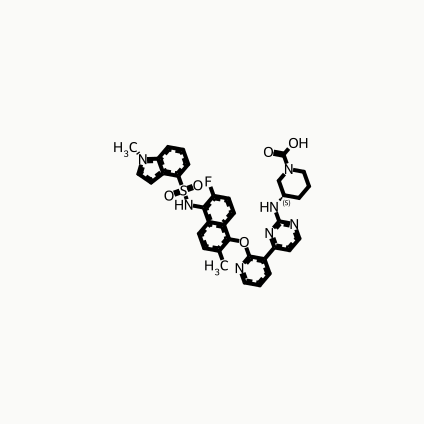 Cc1ccc2c(NS(=O)(=O)c3cccc4c3ccn4C)c(F)ccc2c1Oc1ncccc1-c1ccnc(N[C@H]2CCCN(C(=O)O)C2)n1